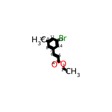 CCOC(=O)/C=C/c1cc(C)cc(Br)c1